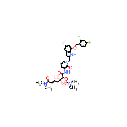 BC(B)(C/C=C/C(=O)N(C)C)C(OC(=O)N(C)C)C(=O)Nc1cccn(Cc2cc3cc(F)cc(OCc4ccc(F)cc4F)c3[nH]2)c1=O